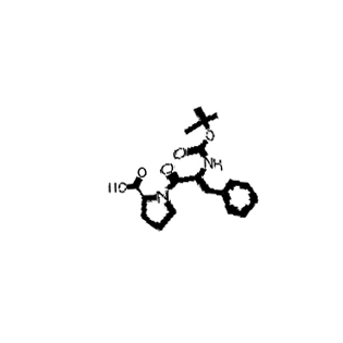 CC(C)(C)OC(=O)NC(Cc1ccccc1)C(=O)N1CCC[C@H]1C(=O)O